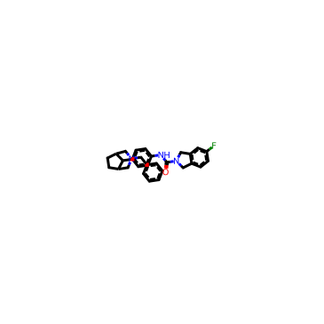 O=C(Nc1ccc(C2C3CCC2CN(Cc2ccccc2)C3)cc1)N1Cc2ccc(F)cc2C1